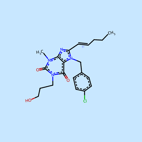 CCC/C=C/c1nc2c(c(=O)n(CCCO)c(=O)n2C)n1Cc1ccc(Cl)cc1